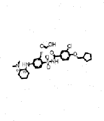 CN(C)[C@H]1CCCC[C@@H]1Nc1ccc(S(=O)(=O)NC(=O)c2ccc(OCC3CCCC3)c(Cl)c2)c(F)c1.O=CO